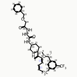 C=C(/C=C\C=C/C)[C@]1(CO[C@H](C)c2cc(C(F)(F)F)cc(C(F)(F)F)c2)CC[C@H](NC(=O)NNC(=O)COCc2ccccc2)CN1